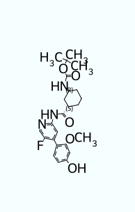 COc1cc(O)ccc1-c1cc(NC(=O)[C@H]2CCC[C@@H](NC(=O)OC(C)(C)C)C2)ncc1F